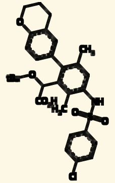 Cc1cc(NS(=O)(=O)c2ccc(Cl)cc2)c(C)c(C(OC(C)(C)C)C(=O)O)c1-c1ccc2c(c1)CCCO2